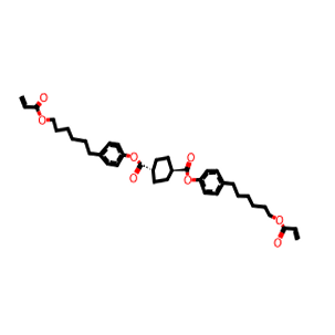 C=CC(=O)OCCCCCCc1ccc(OC(=O)[C@H]2CC[C@H](C(=O)Oc3ccc(CCCCCCOC(=O)C=C)cc3)CC2)cc1